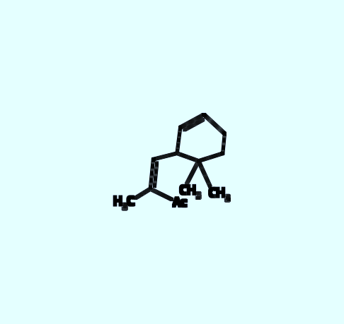 CC(=O)/C(C)=C\C1C=CCCC1(C)C